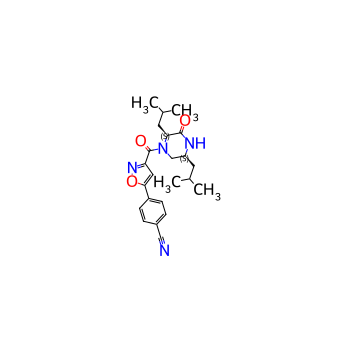 CC(C)C[C@H]1CN(C(=O)c2cc(-c3ccc(C#N)cc3)on2)[C@@H](CC(C)C)C(=O)N1